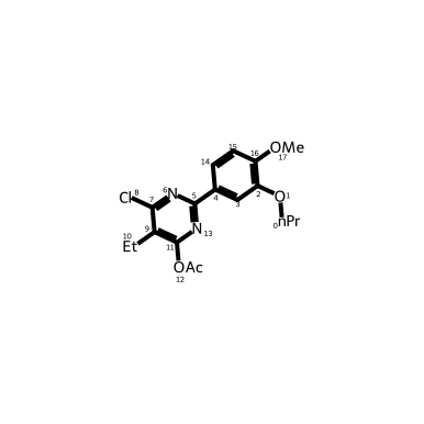 CCCOc1cc(-c2nc(Cl)c(CC)c(OC(C)=O)n2)ccc1OC